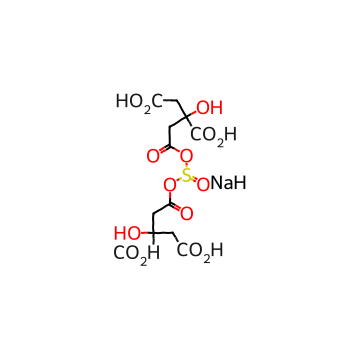 O=C(O)CC(O)(CC(=O)OS(=O)OC(=O)CC(O)(CC(=O)O)C(=O)O)C(=O)O.[NaH]